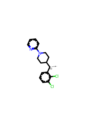 [CH2][C@H](c1cccc(Cl)c1Cl)C1CCN(c2ccccn2)CC1